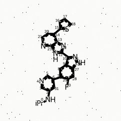 CC(C)Nc1cncc(-c2cc3c(-c4nc5c(-c6cccs6)ccnc5[nH]4)n[nH]c3cc2F)c1